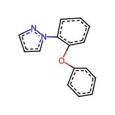 c1ccc(Oc2ccccc2-n2cccn2)cc1